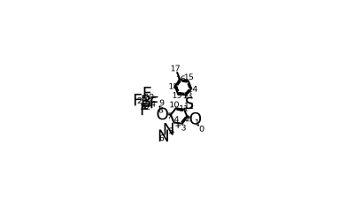 COC1=CC(=[N+]=[N-])C(OC)C=C1Sc1ccc(C)cc1.F[B-](F)(F)F